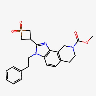 COC(=O)N1CCc2ccc3c(nc(C4CS(=O)(=O)C4)n3CCc3ccccc3)c2C1